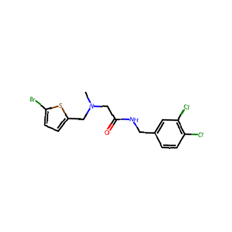 CN(CC(=O)NCc1ccc(Cl)c(Cl)c1)Cc1ccc(Br)s1